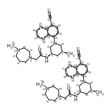 C[C@H]1C[C@@H](NC(=O)CN2CCCN(C)CC2)CN(c2ccc(C#N)c3nccnc23)C1.C[C@H]1C[C@@H](NC(=O)CN2CCCN(C)CC2)CN(c2ccc(C#N)c3nccnc23)C1